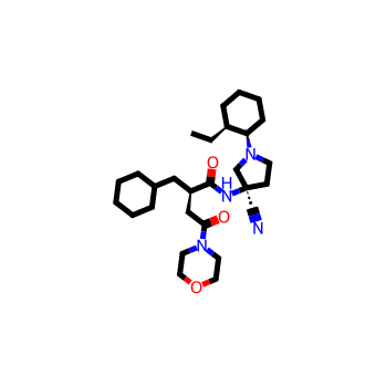 CC[C@H]1CCCC[C@H]1N1CC[C@@](C#N)(NC(=O)[C@@H](CC(=O)N2CCOCC2)CC2CCCCC2)C1